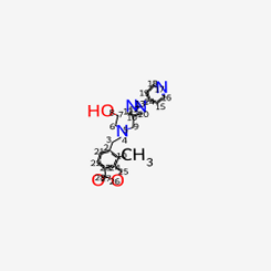 Cc1c(CCN(CCO)Cc2cnn(-c3ccncc3)c2)ccc2c1COC2=O